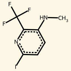 CNc1ccc(I)nc1C(F)(F)F